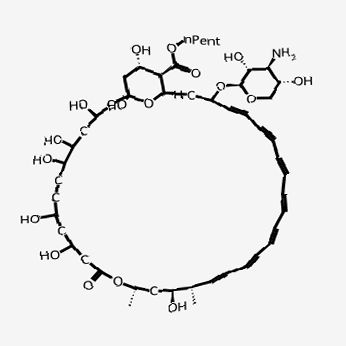 CCCCCOC(=O)[C@H]1[C@@H]2CC(O[C@@H]3OC[C@@H](O)[C@H](N)[C@H]3O)/C=C/C=C/C=C/C=C/C=C/C=C/C=C/[C@H](C)[C@@H](O)C[C@H](C)OC(=O)CC(O)CC(O)CCC(O)C(O)CC(O)CC(O)(C[C@@H]1O)O2